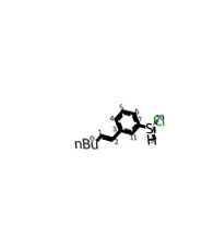 CCCCC=Cc1cccc([SiH](C)Cl)c1